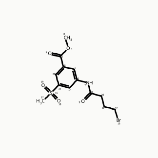 COC(=O)c1cc(NC(=O)CCCBr)cc(S(C)(=O)=O)c1